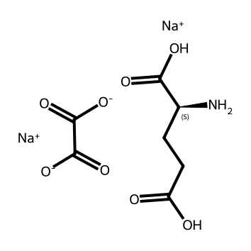 N[C@@H](CCC(=O)O)C(=O)O.O=C([O-])C(=O)[O-].[Na+].[Na+]